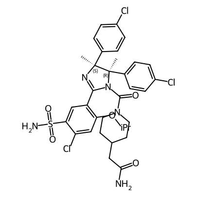 CC(C)Oc1cc(Cl)c(S(N)(=O)=O)cc1C1=N[C@@](C)(c2ccc(Cl)cc2)[C@@](C)(c2ccc(Cl)cc2)N1C(=O)N1CCC(CC(N)=O)CC1